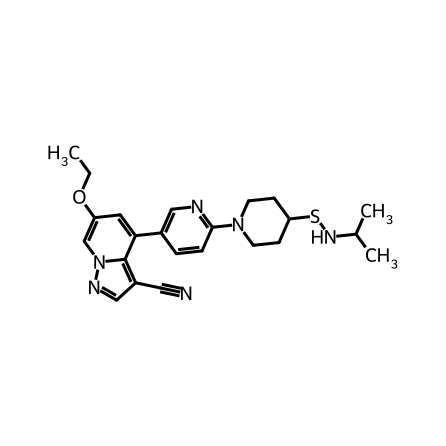 CCOc1cc(-c2ccc(N3CCC(SNC(C)C)CC3)nc2)c2c(C#N)cnn2c1